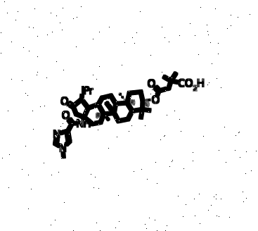 CC(C)C1C(=O)CC2(NC(=O)c3cn(C)cn3)CC[C@]3(C)C(CCC4C3(C)CCC3C(C)(C)[C@@H](OC(=O)CC(C)(C)C(=O)O)CC[C@@]34C)C12